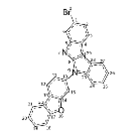 Brc1ccc2c(c1)nc1n(-c3ccc4c(c3)oc3ccccc34)c3ccccc3n21